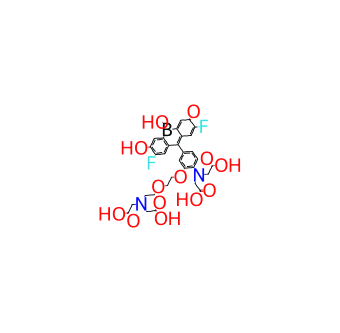 O=C(O)CN(CCOCCOc1cc(C2=C3C=C(F)C(=O)C=C3B(O)c3cc(O)c(F)cc32)ccc1N(CC(=O)O)CC(=O)O)CC(=O)O